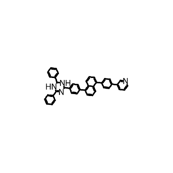 c1ccc(C2=NC(c3ccc(-c4cccc5c(-c6ccc(-c7cccnc7)cc6)cccc45)cc3)NC(c3ccccc3)N2)cc1